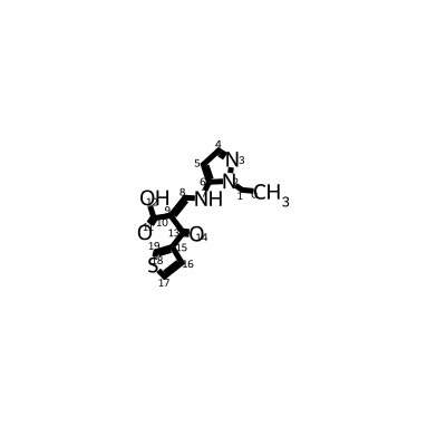 CCn1nccc1N/C=C(/C(=O)O)C(=O)c1ccsc1